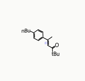 CCCCc1ccc(/C(C)=C/C(=O)C(C)(C)C)cc1